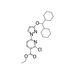 CCOC(=O)c1ccc(-n2ccc(OC(C3CCCCC3)C3CCCCC3)n2)nc1Cl